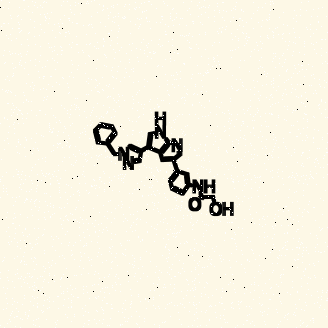 O=C(CO)Nc1cccc(-c2cnc3[nH]cc(-c4cnn(Cc5ccccc5)c4)c3c2)c1